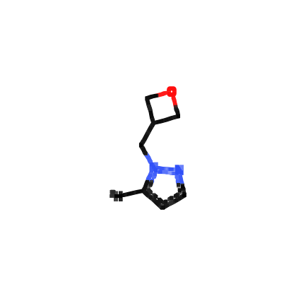 [2H]c1ccnn1CC1COC1